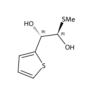 CS[C@@H](O)[C@@H](O)c1cccs1